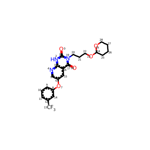 O=c1[nH]c2ncc(Oc3cccc(C(F)(F)F)c3)cc2c(=O)n1CCCOC1CCCCO1